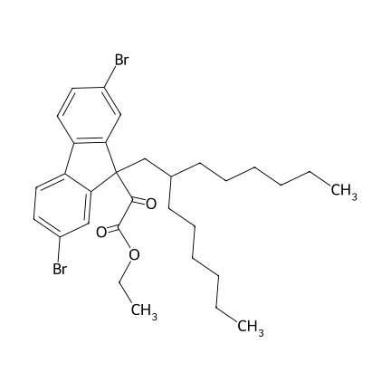 CCCCCCC(CCCCCC)CC1(C(=O)C(=O)OCC)c2cc(Br)ccc2-c2ccc(Br)cc21